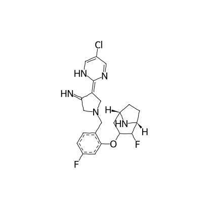 N=C1CN(Cc2ccc(F)cc2OC2C[C@@H]3CC[C@@H](N3)C2F)C/C1=C1\N=CC(Cl)=CN1